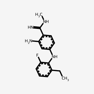 CCc1cccc(F)c1Nc1ccc(C(=N)NC)c(N)c1